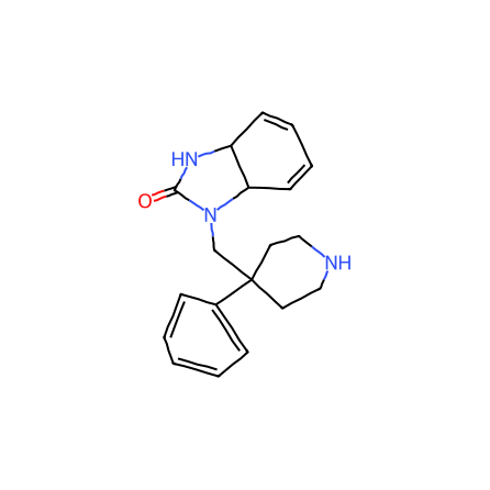 O=C1NC2C=CC=CC2N1CC1(c2ccccc2)CCNCC1